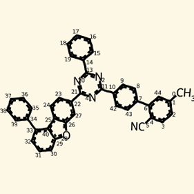 Cc1ccc(C#N)c(-c2ccc(-c3nc(-c4ccccc4)nc(-c4ccc5c(c4)oc4cccc(-c6ccccc6)c45)n3)cc2)c1